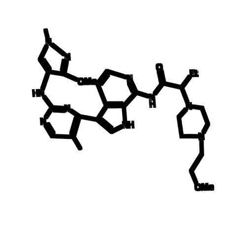 CCC(C(=O)Nc1nccc2c(-c3nc(Nc4cn(C)nc4OC)ncc3C)c[nH]c12)N1CCN(CCOC)CC1